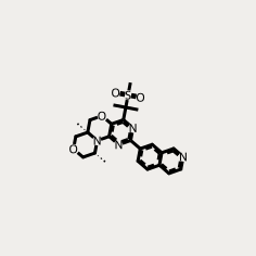 C[C@@H]1COC[C@@]2(C)COc3c(nc(-c4ccc5ccncc5c4)nc3C(C)(C)S(C)(=O)=O)N12